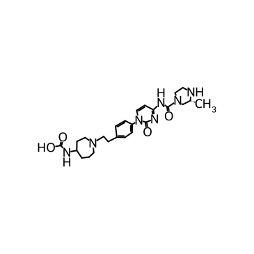 C[C@@H]1CN(C(=O)Nc2ccn(-c3ccc(CCN4CCCC(NC(=O)O)CC4)cc3)c(=O)n2)CCN1